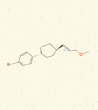 COC/C=C/[C@H]1CC[C@H](c2ccc(Br)cc2)CC1